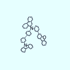 c1cc(-c2ccc3c(c2)oc2ccccc23)cc(N(c2ccc(-c3cccc(-n4c5ccccc5c5ccccc54)c3)cc2)c2cc3ccccc3c3ccccc23)c1